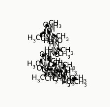 CNC(=O)NC[C@H](CC(C)C)NC(=O)NC[C@H](C)NC(=O)NC[C@@H](NC(=O)NC[C@H](CC(C)C)NC(=O)NC[C@H](C)NC(=O)NC[C@@H](NC(=O)[C@H](CC(C)C)NC(=O)[C@H](C)NC(=O)[C@H](CC(C)C)NC(=O)[C@H](C)NC(=O)OC(C)(C)C)C(C)C)C(C)C